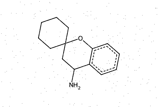 NC1CC2(CCCCC2)Oc2ccccc21